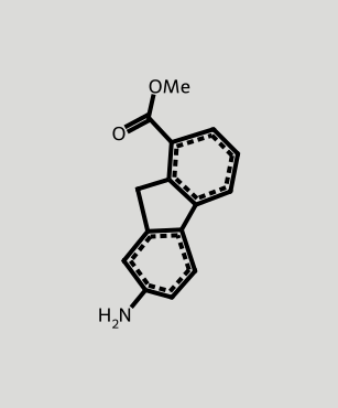 COC(=O)c1cccc2c1Cc1cc(N)ccc1-2